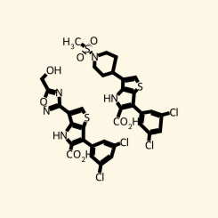 CS(=O)(=O)N1CCC(c2csc3c(-c4cc(Cl)cc(Cl)c4)c(C(=O)O)[nH]c23)CC1.O=C(O)c1[nH]c2c(-c3noc(CO)n3)csc2c1-c1cc(Cl)cc(Cl)c1